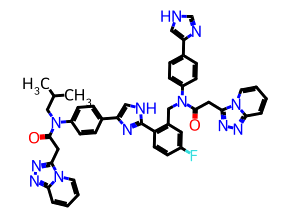 CC(C)CN(C(=O)Cc1nnc2ccccn12)c1ccc(-c2c[nH]c(-c3ccc(F)cc3CN(C(=O)Cc3nnc4ccccn34)c3ccc(-c4c[nH]cn4)cc3)n2)cc1